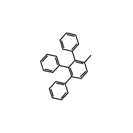 [CH2]c1ccc(-c2ccccc2)c(-c2ccccc2)c1-c1ccccc1